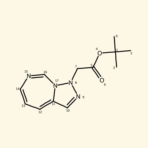 CC(C)(C)OC(=O)CN1N=CC2=CC=CN=CN21